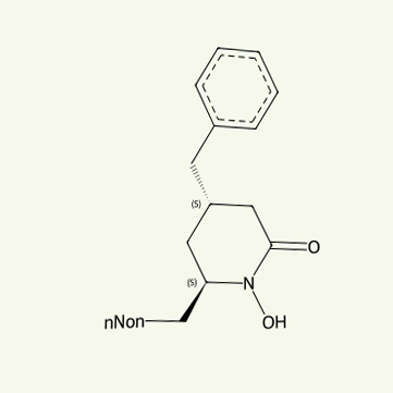 CCCCCCCCCC[C@H]1C[C@H](Cc2ccccc2)CC(=O)N1O